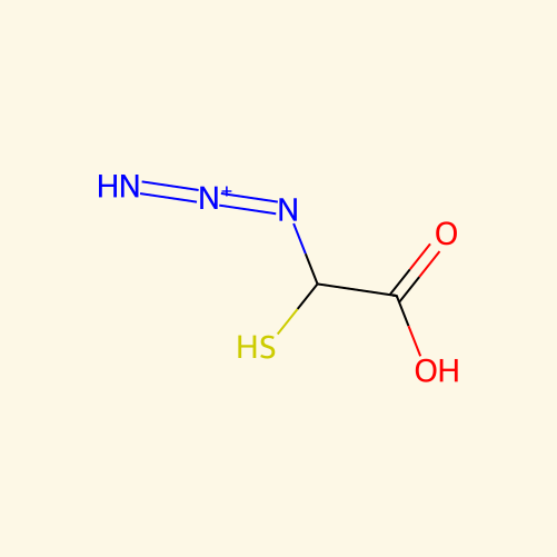 N=[N+]=NC(S)C(=O)O